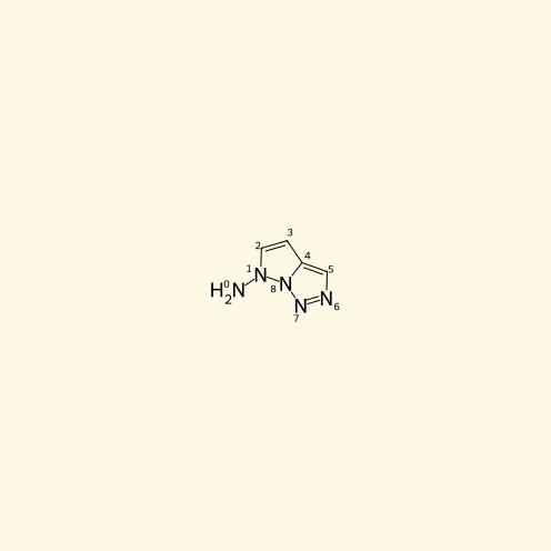 Nn1ccc2cnnn21